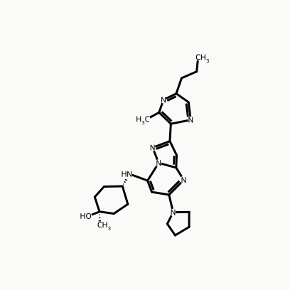 CCCc1cnc(-c2cc3nc(N4CCCC4)cc(N[C@H]4CC[C@](C)(O)CC4)n3n2)c(C)n1